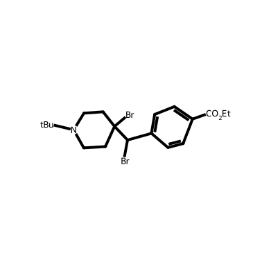 CCOC(=O)c1ccc(C(Br)C2(Br)CCN(C(C)(C)C)CC2)cc1